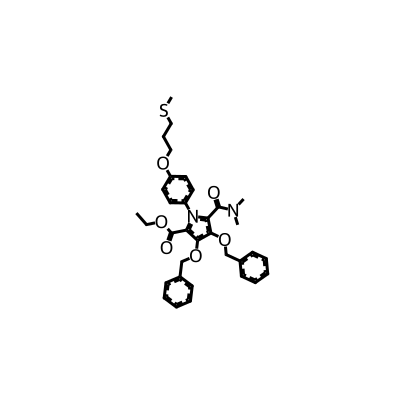 CCOC(=O)c1c(OCc2ccccc2)c(OCc2ccccc2)c(C(=O)N(C)C)n1-c1ccc(OCCCSC)cc1